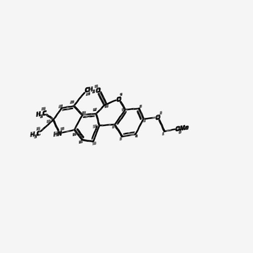 COCOc1ccc2c(c1)oc(=O)c1c3c(ccc12)NC(C)(C)C=C3C